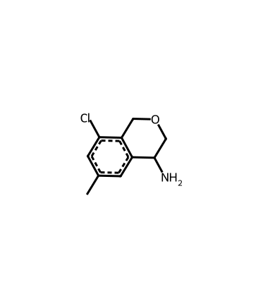 Cc1cc(Cl)c2c(c1)C(N)COC2